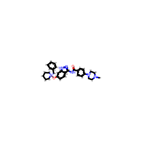 CN1CCN(c2ccc(C(=O)Nc3n[nH]c4cc(O[N+]5(Cc6ccccc6)CCCCC5)ccc34)cc2)CC1